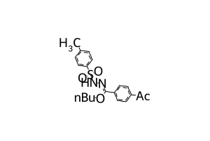 CCCCOC(=NNS(=O)(=O)c1ccc(C)cc1)c1ccc(C(C)=O)cc1